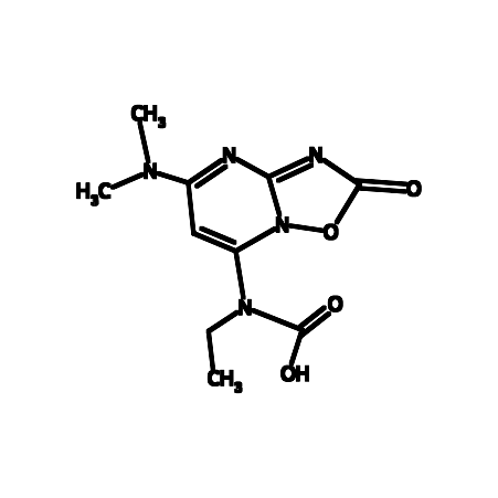 CCN(C(=O)O)c1cc(N(C)C)nc2nc(=O)on12